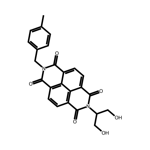 Cc1ccc(CN2C(=O)c3ccc4c5c(ccc(c35)C2=O)C(=O)N(C(CO)CO)C4=O)cc1